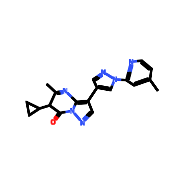 CC1=Nc2c(-c3cnn(-c4cc(C)ccn4)c3)cnn2C(=O)C1C1CC1